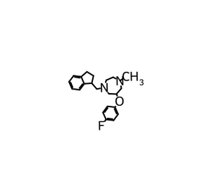 CN1CCN(CC2CCc3ccccc32)CC(Oc2ccc(F)cc2)C1